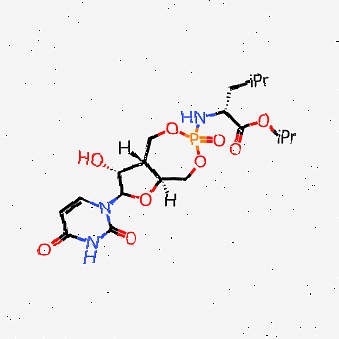 CC(C)C[C@@H](NP1(=O)OC[C@H]2[C@@H](O)[C@H](n3ccc(=O)[nH]c3=O)O[C@@H]2CO1)C(=O)OC(C)C